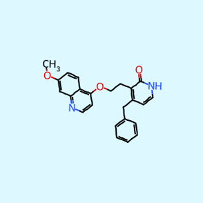 COc1ccc2c(OCCc3c(Cc4ccccc4)cc[nH]c3=O)ccnc2c1